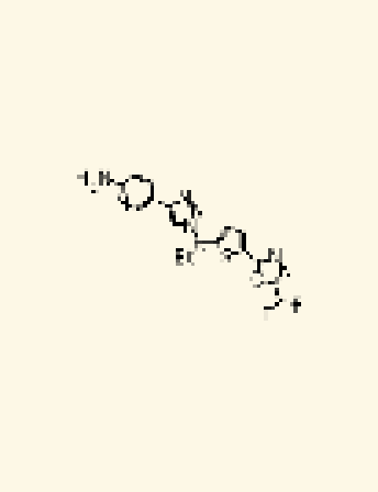 CC[C@@H](c1ccc(-c2nnc(C(F)F)o2)s1)n1cc(-c2ccc(N)nc2)nn1